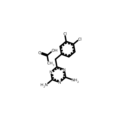 CC(=O)O.Nc1nc(N)nc(Cc2ccc(Cl)c(Cl)c2)n1